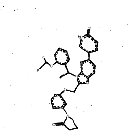 CC(c1ccccc1OC(F)F)n1c(COc2cccc(N3CCCC3=O)c2)nc2ccc(-c3ccc(=O)[nH]c3)cc21